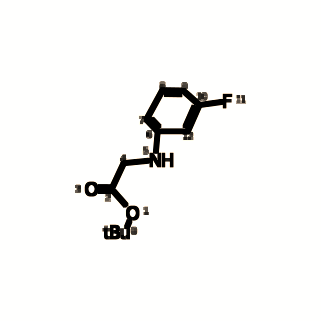 CC(C)(C)OC(=O)CNc1cccc(F)c1